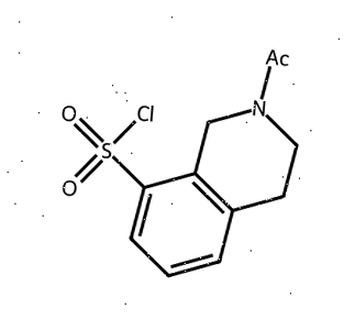 CC(=O)N1CCc2cccc(S(=O)(=O)Cl)c2C1